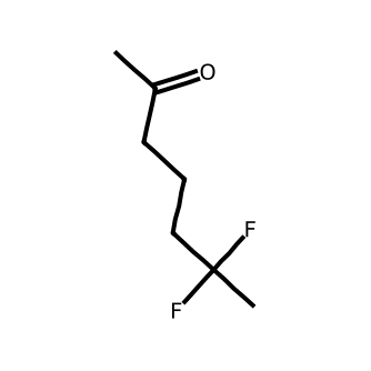 CC(=O)CCCC(C)(F)F